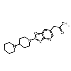 CC(=O)Cc1cnc2nc(N3CCC(N4CCCCC4)CC3)oc2c1